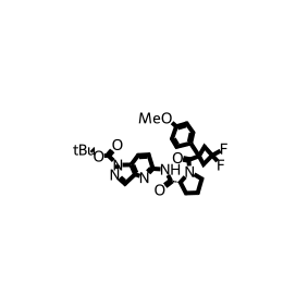 COc1ccc(C2(C(=O)N3CCC[C@@H]3C(=O)Nc3ccc4c(cnn4C(=O)OC(C)(C)C)n3)CC(F)(F)C2)cc1